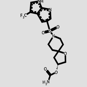 NC(=O)O[C@H]1COC2(CCN(S(=O)(=O)c3cnc4[nH]cc(C(F)(F)F)c4c3)CC2)C1